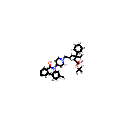 CCC(CCCN1CCC(NC(=O)c2ccccc2-c2ccc(C)cc2)CC1)(CC(=O)OC(C)(C)C)c1ccccc1